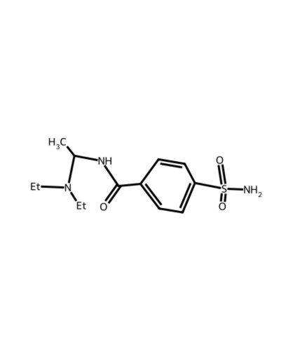 CCN(CC)C(C)NC(=O)c1ccc(S(N)(=O)=O)cc1